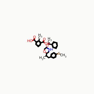 CC(=O)c1ccccc1.CSc1ccc(CC(C)C2CNCCO2)cc1.Cc1c(C(=O)O)cccc1C(=O)O